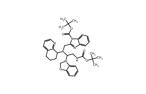 CC(C)(C)OC(=O)NCC(N1COc2ccccc21)N(Cc1nc2ccccc2n1C(=O)OC(C)(C)C)C1CCCc2cccnc21